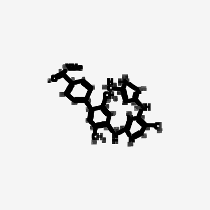 CNC(=O)c1ccc(-c2cc(C)c(Nc3ncc(Cl)c(Nc4cc(C)[nH]n4)n3)cc2C)cc1